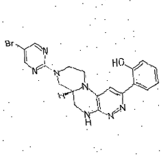 Oc1ccccc1-c1cc2c(nn1)NC[C@@H]1CN(c3ncc(Br)cn3)CCN21